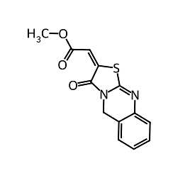 COC(=O)/C=c1/sc2n(c1=O)Cc1ccccc1N=2